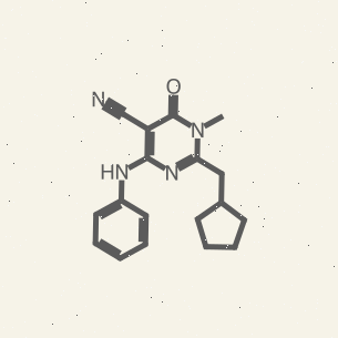 Cn1c(CC2CCCC2)nc(Nc2ccccc2)c(C#N)c1=O